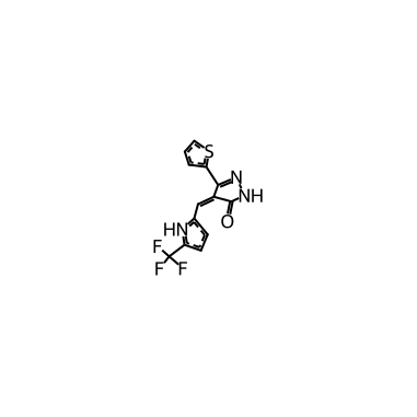 O=C1NN=C(c2cccs2)/C1=C/c1ccc(C(F)(F)F)[nH]1